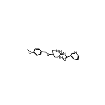 COc1ccc(CSC2CNC(=NC(=O)c3cccnc3)NC2)cc1